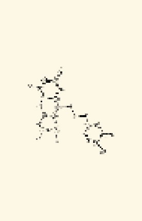 Cc1cc2nc3c(=O)[nH]c(=O)nc-3n(CCCc3ccc(F)c(C)c3)c2cc1C